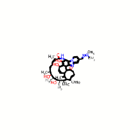 CO[C@H]1/C=C/CC(=O)C2=c3c4c(O)c(c5c3nc3cc(/C=N/N(C)C)ccn35)NC(=O)/C(C)=C\C=C\[C@H](C)[C@H](O)[C@@H](C)[C@@H](O)[C@@H](C)[C@H](OC(C)=O)[C@H]1C(C)C2C#CC=4O